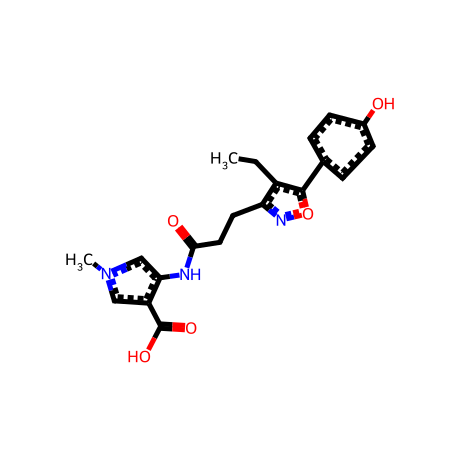 CCc1c(CCC(=O)Nc2cn(C)cc2C(=O)O)noc1-c1ccc(O)cc1